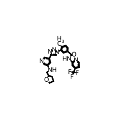 Cc1ccc(C(=O)Nc2cc(C(F)(F)F)ccn2)cc1-n1cc(-c2cncc(NCC3CCCO3)c2)nn1